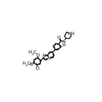 COc1cc(OC)c(-c2cn3ccc(-c4ccc(C(=O)NC5CCNCC5)cc4)cc3n2)cc1Cl